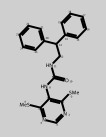 CSc1ncnc(SC)c1NC(=O)NCC(c1ccccc1)c1ccccc1